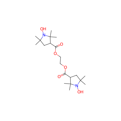 CC1(C)CC(C(=O)OCCOC(=O)C2CC(C)(C)N(O)C2(C)C)C(C)(C)N1O